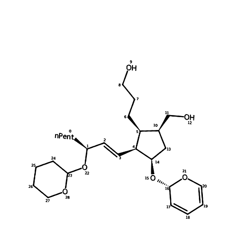 CCCCC[C@@H](C=C[C@H]1[C@@H](CCCO)[C@@H](CO)C[C@H]1O[C@H]1C=CC=CO1)OC1CCCCO1